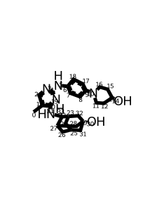 Cc1cnc(Nc2ccc(N3CCC(O)CC3)cc2)nc1N[C@H]1C2CC3CC1C[C@](O)(C3)C2